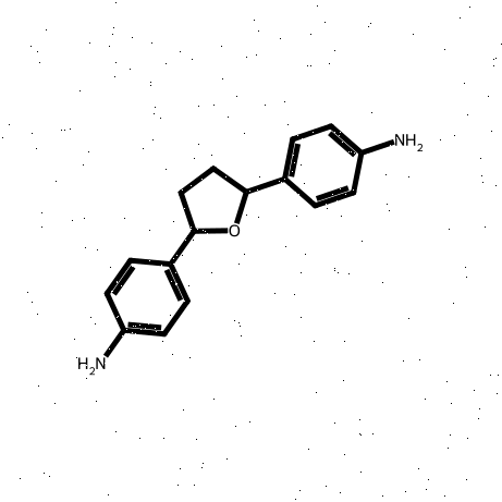 Nc1ccc(C2CCC(c3ccc(N)cc3)O2)cc1